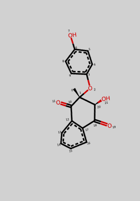 C[C@]1(Oc2ccc(O)cc2)C(=O)c2ccccc2C(=O)[C@@H]1O